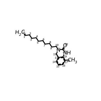 C=CCCCCCCCCCN1Cc2cccc(C)c2NC1=O